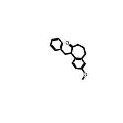 COc1ccc2c(c1)CCCC(=O)C2Cc1ccccc1